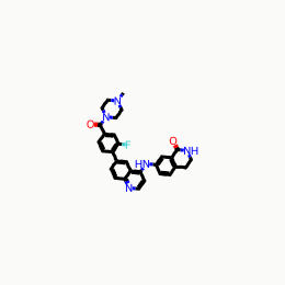 CN1CCN(C(=O)c2ccc(-c3ccc4nccc(Nc5ccc6c(c5)C(=O)NCC6)c4c3)c(F)c2)CC1